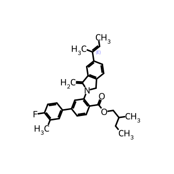 C=C1c2cc(/C(C)=C/C)ccc2CN1c1cc(-c2ccc(F)c(C)c2)ccc1C(=O)OCC(C)CC